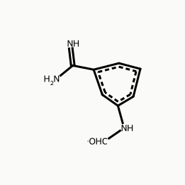 N=C(N)c1cccc(N[C]=O)c1